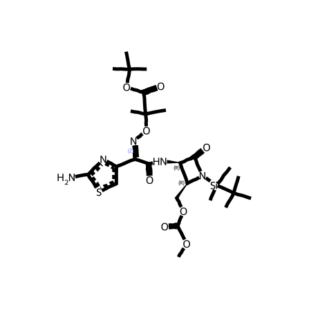 COC(=O)OC[C@H]1[C@@H](NC(=O)/C(=N\OC(C)(C)C(=O)OC(C)(C)C)c2csc(N)n2)C(=O)N1[Si](C)(C)C(C)(C)C